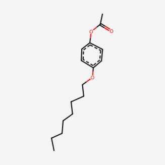 CCCCCCCCOc1ccc(OC(C)=O)cc1